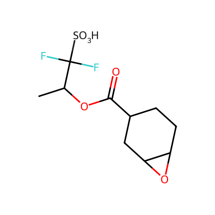 CC(OC(=O)C1CCC2OC2C1)C(F)(F)S(=O)(=O)O